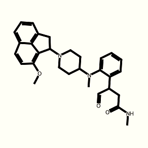 CNC(=O)CC(C=O)c1ccccc1N(C)C1CCN(C2Cc3cccc4ccc(OC)c2c34)CC1